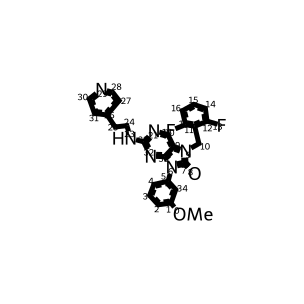 COc1cccc(-n2c(=O)n(Cc3c(F)cccc3F)c3cnc(NCCc4ccncc4)nc32)c1